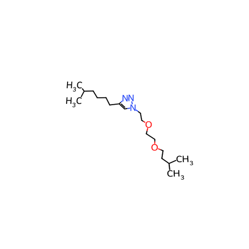 CC(C)CCCCc1cn(CCOCCOCCC(C)C)nn1